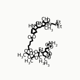 CCN(CC)CCNC(=O)c1c(C)[nH]c(/C=C2\C(=O)Nc3ccc(OC(=O)CCCCC(=O)OC(C)C(=O)OC(C)C(=O)OC(C)C(=O)N(CC)C4C[C@@H](C)S(=O)(=O)c5sc(S(N)(=O)=O)cc54)cc32)c1C